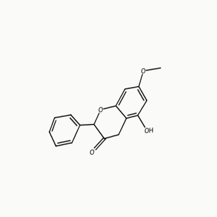 COc1cc(O)c2c(c1)OC(c1ccccc1)C(=O)C2